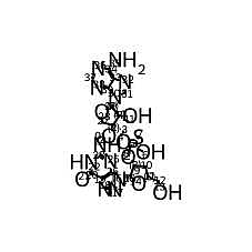 CO[C@@]1(COP(O)(=S)O[C@@H]2C[C@@H](CO)O[C@H]2n2nnc3c(=O)[nH]c(N)nc32)CO[C@@H](n2cnc3c(N)ncnc32)[C@@H]1O